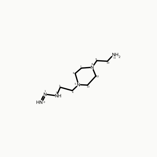 N=NNCCN1CCN(CCN)CC1